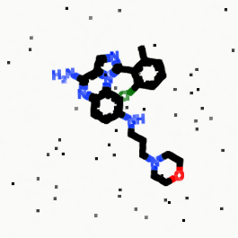 Cc1cccc(Cl)c1-c1ncc2c(N)nc3ccc(NCCCN4CCOCC4)cc3n12